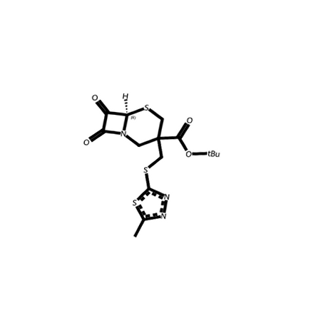 Cc1nnc(SCC2(C(=O)OC(C)(C)C)CS[C@@H]3C(=O)C(=O)N3C2)s1